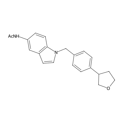 CC(=O)Nc1ccc2c(ccn2Cc2ccc(C3CCOC3)cc2)c1